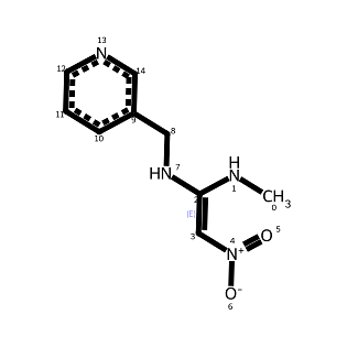 CN/C(=C\[N+](=O)[O-])NCc1cccnc1